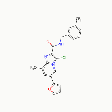 O=C(NCc1cccc(C(F)(F)F)c1)c1nc2c(C(F)(F)F)cc(-c3ccco3)cn2c1Cl